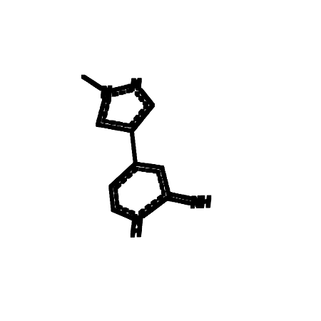 Cn1cc(-c2cc[nH]c(=N)c2)cn1